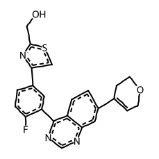 OCc1nc(-c2ccc(F)c(-c3ncnc4cc(C5=CCOCC5)ccc34)c2)cs1